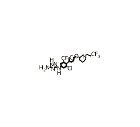 Nc1nc(Nc2cc(Cl)c(-c3ccc(OC4CCCN(CCC(F)(F)F)C4)cc3)c(C(F)(F)F)c2)n[nH]1